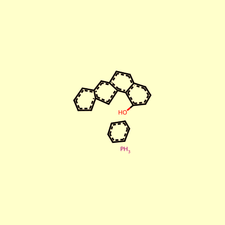 Oc1cccc2ccc3cc4ccccc4cc3c12.P.c1ccccc1